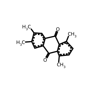 Cc1cc2c(cc1C)C(=O)c1c(C)ccc(C)c1C2=O